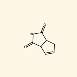 O=C1NC(=O)C2CC=CC12